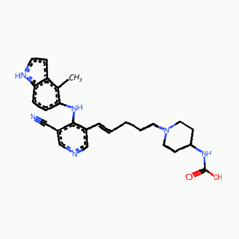 Cc1c(Nc2c(C#N)cncc2C=CCCCN2CCC(NC(=O)O)CC2)ccc2[nH]ccc12